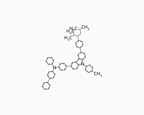 Cc1ccc(-n2c3ccc(-c4ccc(C(CC(C)C)C(C)C)cc4)cc3c3cc(-c4ccc(N(c5ccccc5)c5ccc(-c6ccccc6)cc5)cc4)ccc32)cc1